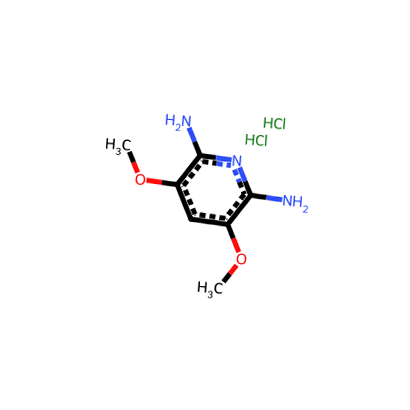 COc1cc(OC)c(N)nc1N.Cl.Cl